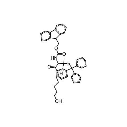 CC(C)(SC(c1ccccc1)(c1ccccc1)c1ccccc1)C(NC(=O)OCC1c2ccccc2-c2ccccc21)C(=O)NCCCCCO